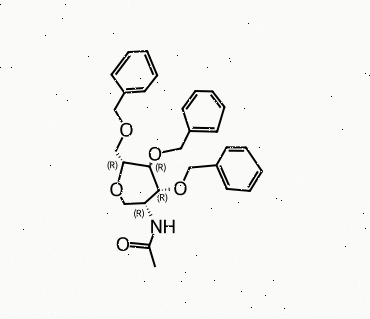 CC(=O)N[C@@H]1CO[C@H](COCc2ccccc2)[C@H](OCc2ccccc2)[C@@H]1OCc1ccccc1